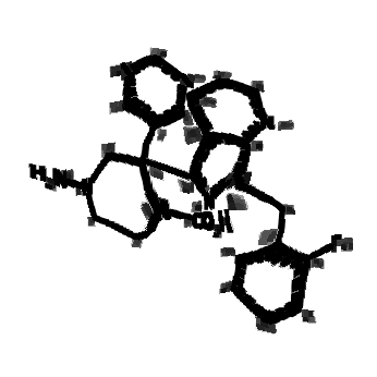 NN1CCN(C(=O)O)C(c2cncnc2)(c2nn(Cc3ccccc3F)c3ncccc23)C1